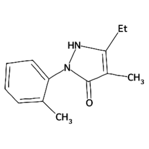 CCc1[nH]n(-c2ccccc2C)c(=O)c1C